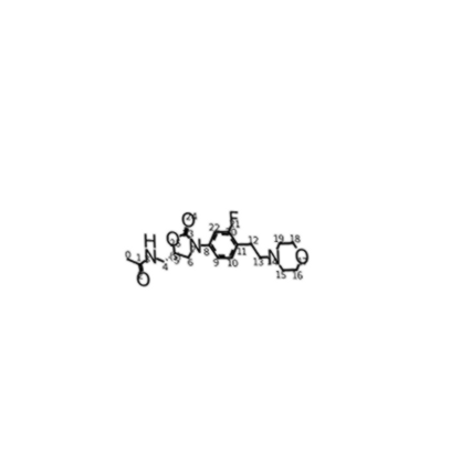 CC(=O)NC[C@H]1CN(c2ccc(CCN3CCOCC3)c(F)c2)C(=O)O1